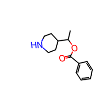 CC(OC(=O)c1ccccc1)C1CCNCC1